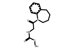 CC(C)(C)OC(=O)NCC(=O)N1CCCCc2ccccc21